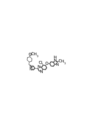 COC1CCC(Cn2cc(-c3cnc4ccc(Oc5ccc6nc(C)[nH]c6c5)c(Cl)c4n3)cn2)CC1